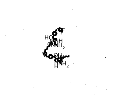 CCCCOc1nc(N)c2[nH]cc(C(O)c3ccc(CN4CCC(CCCCOc5nc(N)c6[nH]cc(C(O)c7ccc(CN8CCC(F)(F)C8)cc7)c6n5)C4)cc3)c2n1